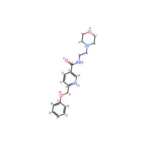 O=C(NCCN1CCOCC1)c1ccc(COc2ccccc2)nc1